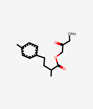 COCC(=O)COC(=O)C(C)CCc1ccc(C)cc1